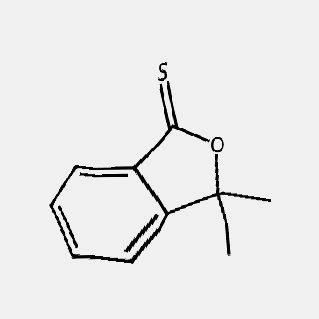 CC1(C)OC(=S)c2ccccc21